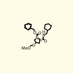 COCOC1C[C@@H](C(=O)NCC2CCCCC2)N(C(=O)OCc2ccccc2)C1